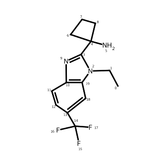 CCn1c(C2(N)CCC2)nc2ccc(C(F)(F)F)cc21